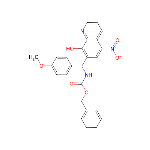 COc1ccc(C(NC(=O)OCc2ccccc2)c2cc([N+](=O)[O-])c3cccnc3c2O)cc1